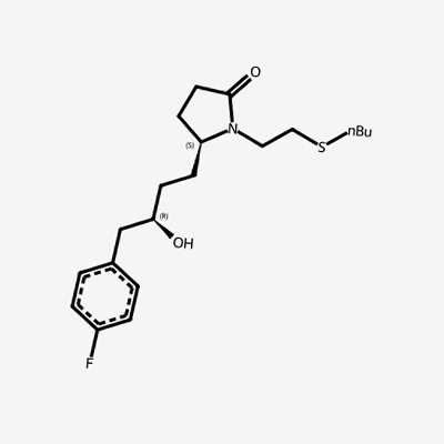 CCCCSCCN1C(=O)CC[C@@H]1CC[C@@H](O)Cc1ccc(F)cc1